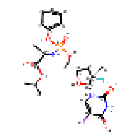 CC(C)OC(=O)[C@@H](C)NP(=O)(OC[C@@H]1C[C@@](C)(F)[C@H](n2cc(I)c(=O)[nH]c2=O)O1)Oc1ccccc1